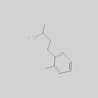 CC(N)CCc1ccccc1Br